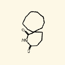 O=C1CCCC2(CCCCCCCC2)C(=O)N1